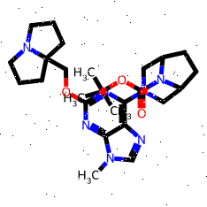 Cn1cnc2c(N3CC4CCC(C3)N4C(=O)OC(C)(C)C)nc(OCC34CCCN3CCC4)nc21